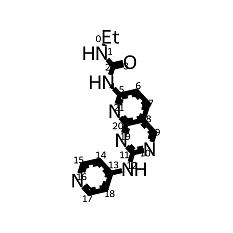 CCNC(=O)Nc1ccc2cnc(Nc3ccncc3)nc2n1